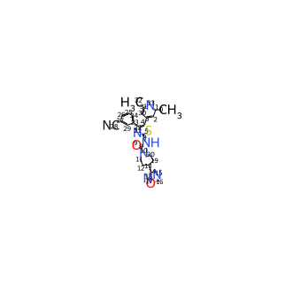 Cc1cc(-c2sc(NC(=O)N3CCC(c4ncon4)CC3)nc2-c2cccc(C#N)c2)cc(C)n1